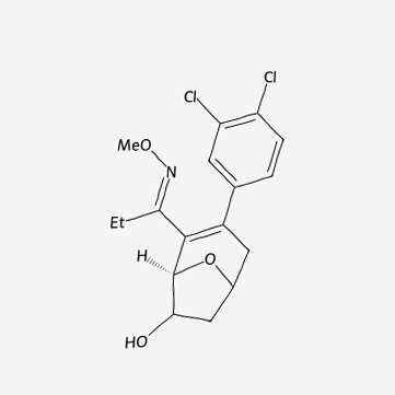 CCC(=NOC)C1=C(c2ccc(Cl)c(Cl)c2)CC2CC(O)[C@@H]1O2